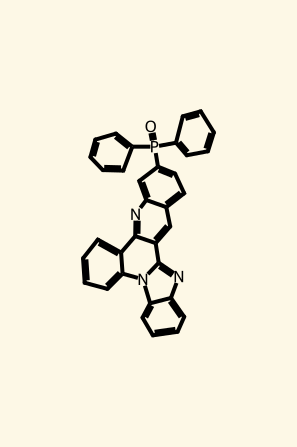 O=P(c1ccccc1)(c1ccccc1)c1ccc2cc3c(nc2c1)c1ccccc1n1c2ccccc2nc31